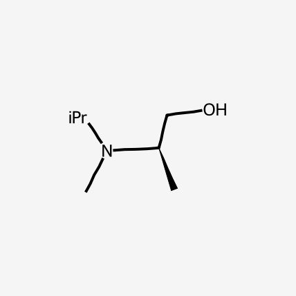 CC(C)N(C)[C@H](C)CO